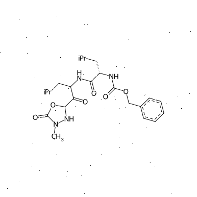 CC(C)CC(NC(=O)[C@H](CC(C)C)NC(=O)OCc1ccccc1)C(=O)C1NN(C)C(=O)O1